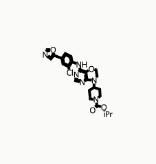 CC(C)OC(=O)N1CCC(N2CCOc3c(Nc4ccc(-c5cnco5)cc4Cl)ncnc32)CC1